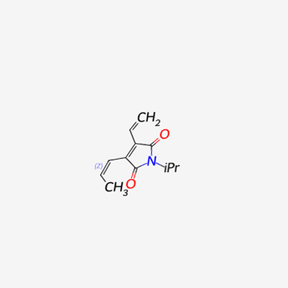 C=CC1=C(/C=C\C)C(=O)N(C(C)C)C1=O